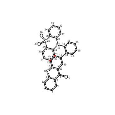 O=c1c2ccccc2sc2ccc(-c3ccccc3N3c4ccccc4S(=O)(=O)c4ccccc43)cc12